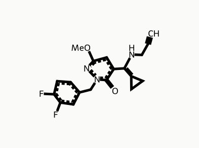 C#CCNC(=C1CC1)c1cc(OC)nn(Cc2ccc(F)c(F)c2)c1=O